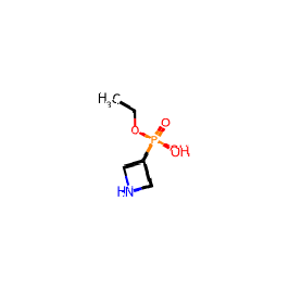 CCOP(=O)(O)C1CNC1